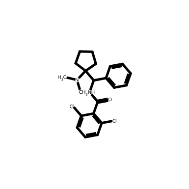 CN(C)C1(C(NC(=O)c2c(Cl)cccc2Cl)c2ccccc2)CCCC1